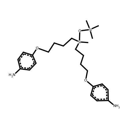 C[Si](C)(C)O[Si](C)(CCCCOc1ccc(N)cc1)CCCCOc1ccc(N)cc1